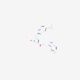 CCOC(=O)c1nc(C(=O)NCc2ncn3ccc(Cl)c(F)c23)cn1Cc1cn2cc(C3CC3)ccc2n1